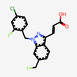 O=C(O)C=Cc1nn(Cc2ccc(Cl)cc2F)c2cc(CF)ccc12